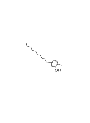 CCCCCCCCCCc1ccc(C)c(O)c1